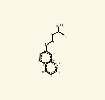 CC(I)CCOc1ccc2cccnc2c1